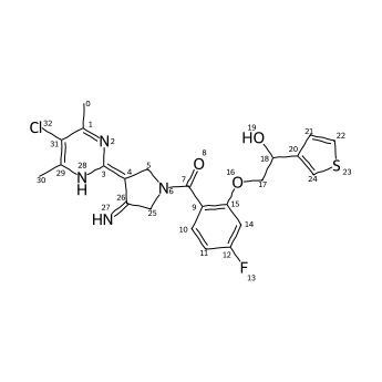 CC1=N/C(=C2\CN(C(=O)c3ccc(F)cc3OCC(O)c3ccsc3)CC2=N)NC(C)=C1Cl